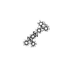 CC1(C)c2ccccc2N(c2ccc(-c3nc4cc5c(cc4s3)nc(-c3ccccc3)n5-c3ccccc3)cc2)c2ccccc21